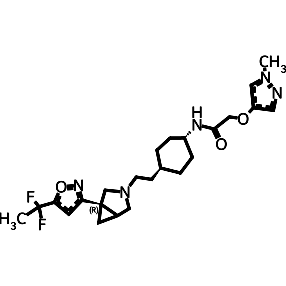 Cn1cc(OCC(=O)N[C@H]2CC[C@H](CCN3CC4C[C@]4(c4cc(C(C)(F)F)on4)C3)CC2)cn1